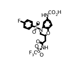 O=C(O)Nc1ccc2c(c1)N(S(=O)(=O)c1ccc(F)cc1)CC(CC(=O)NS(=O)(=O)C(F)(F)F)O2